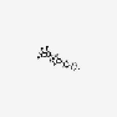 Cc1cc(C2CCC(C)CO2)cc(C)c1-c1cc(F)c(C(=O)Oc2cc(F)c3c(F)c(C)c(F)cc3c2)c(F)c1